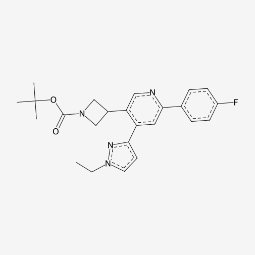 CCn1ccc(-c2cc(-c3ccc(F)cc3)ncc2C2CN(C(=O)OC(C)(C)C)C2)n1